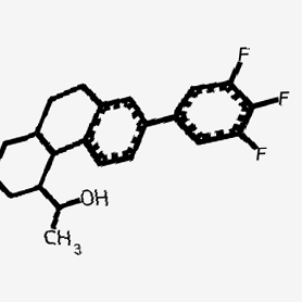 CC(O)C1CCCC2CCc3cc(-c4cc(F)c(F)c(F)c4)ccc3C21